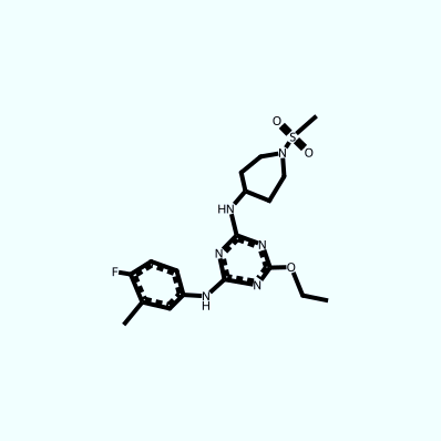 CCOc1nc(Nc2ccc(F)c(C)c2)nc(NC2CCN(S(C)(=O)=O)CC2)n1